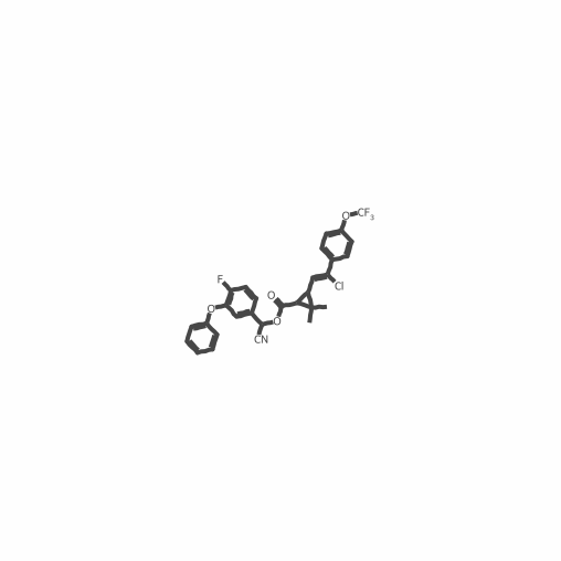 CC1(C)C(C=C(Cl)c2ccc(OC(F)(F)F)cc2)C1C(=O)OC(C#N)c1ccc(F)c(Oc2ccccc2)c1